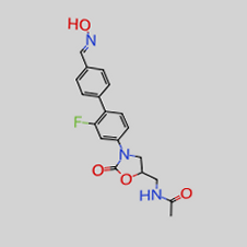 CC(=O)NCC1CN(c2ccc(-c3ccc(C=NO)cc3)c(F)c2)C(=O)O1